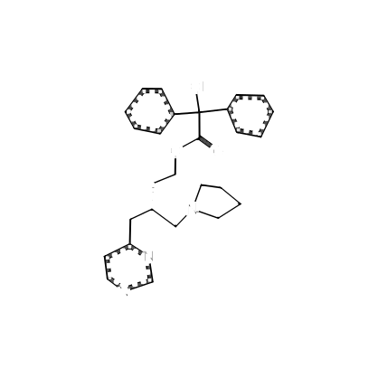 O=C(OCC[C@@H](Cc1ccncn1)CN1CCCC1)C(O)(c1ccccc1)c1ccccc1